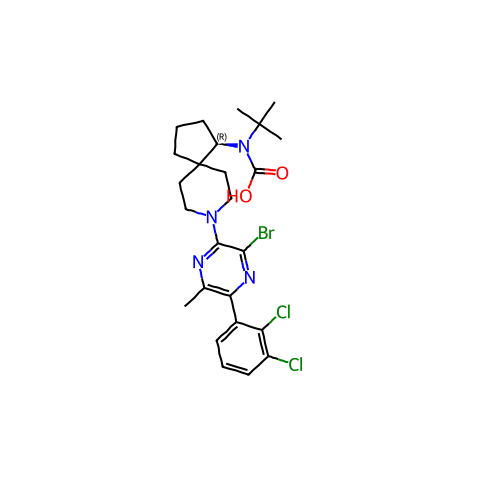 Cc1nc(N2CCC3(CCC[C@H]3N(C(=O)O)C(C)(C)C)CC2)c(Br)nc1-c1cccc(Cl)c1Cl